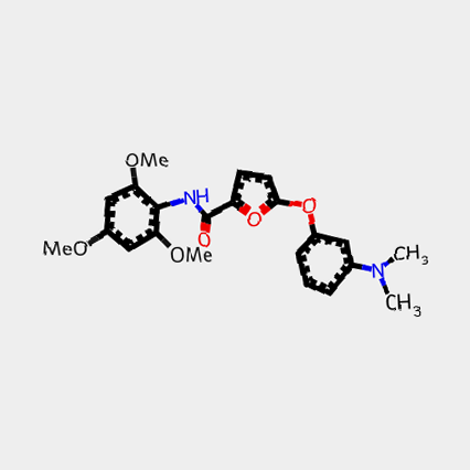 COc1cc(OC)c(NC(=O)c2ccc(Oc3cccc(N(C)C)c3)o2)c(OC)c1